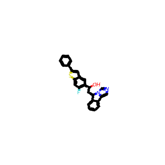 OC(CC1c2ccccc2-c2cncn21)c1cc2cc(-c3ccccc3)sc2cc1F